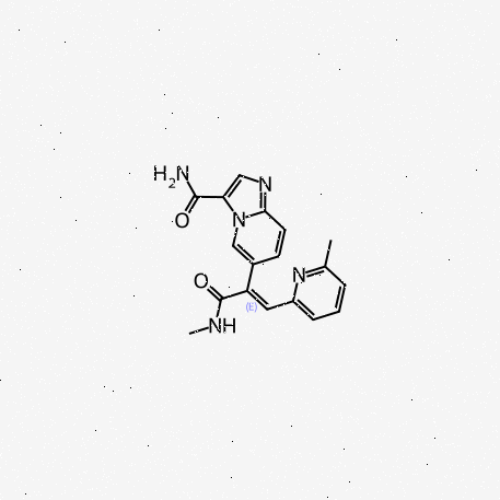 CNC(=O)/C(=C/c1cccc(C)n1)c1ccc2ncc(C(N)=O)n2c1